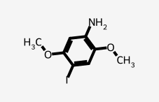 COc1cc(I)c(OC)cc1N